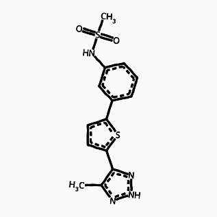 Cc1n[nH]nc1-c1ccc(-c2cccc(NS(C)(=O)=O)c2)s1